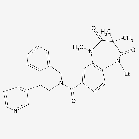 CCN1C(=O)C(C)(C)C(=O)N(C)c2cc(C(=O)N(CCc3cccnc3)Cc3ccccc3)ccc21